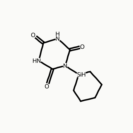 O=c1[nH]c(=O)n([SiH]2CCCCC2)c(=O)[nH]1